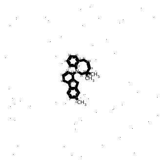 Cc1ccc2c(c1)CC1=C2CC=CC1N1CC(C)(C)C=CCc2ccccc21